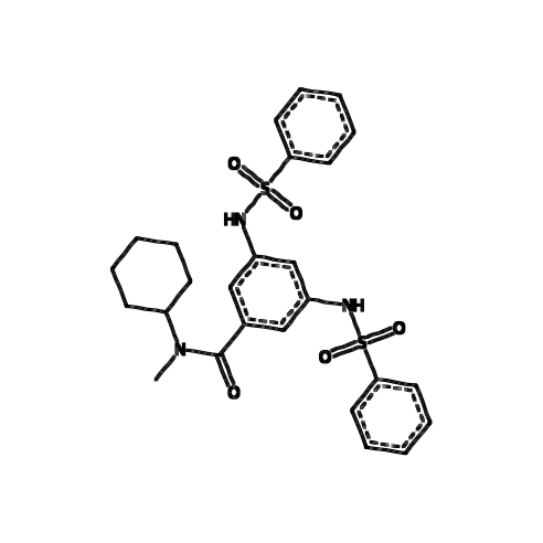 CN(C(=O)c1cc(NS(=O)(=O)c2ccccc2)cc(NS(=O)(=O)c2ccccc2)c1)C1CCCCC1